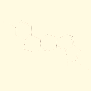 Cc1ccc2c(c1)COc1cc3c(ccc4nc(C)[nH]c43)cc1-2